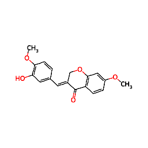 COc1ccc2c(c1)OCC(=Cc1ccc(OC)c(O)c1)C2=O